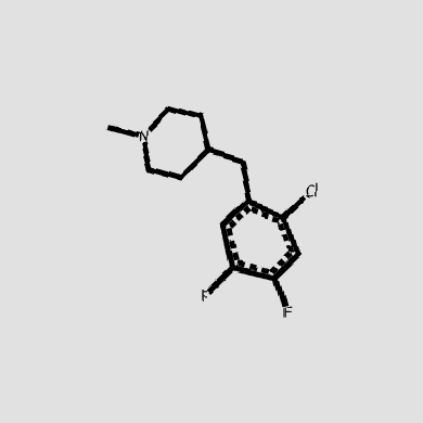 CN1CCC(Cc2cc(F)c(F)cc2Cl)CC1